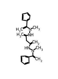 C=C(CC(=C)NN(C)C(=C)c1ccccc1)NN(C)C(=C)c1ccccc1